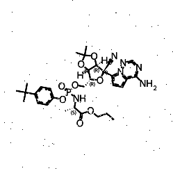 CCCOC(=O)[C@H](C)NP(=O)(OC[C@H]1O[C@@](C#N)(c2ccc3c(N)ncnn23)[C@@H]2OC(C)(C)O[C@@H]21)Oc1ccc(C(C)(C)C)cc1